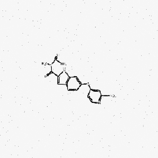 CN(C(=N)N)C(=O)c1cc2ccc(Oc3ccnc([N+](=O)[O-])c3)cc2[nH]1